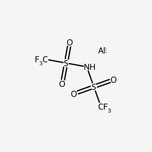 O=S(=O)(NS(=O)(=O)C(F)(F)F)C(F)(F)F.[Al]